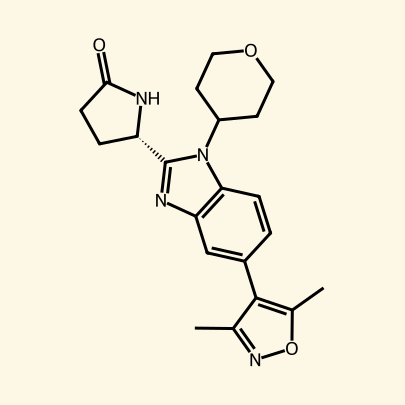 Cc1noc(C)c1-c1ccc2c(c1)nc([C@@H]1CCC(=O)N1)n2C1CCOCC1